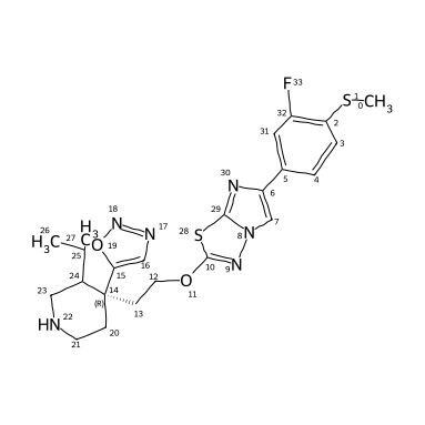 CSc1ccc(-c2cn3nc(OCC[C@]4(c5cnno5)CCNCC4C(C)C)sc3n2)cc1F